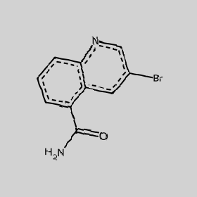 NC(=O)c1cccc2ncc(Br)cc12